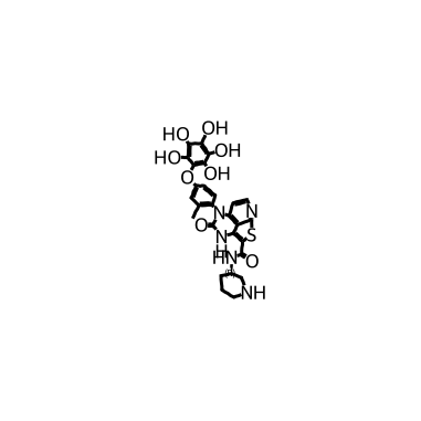 Cc1cc(Oc2c(O)c(O)c(O)c(O)c2O)ccc1N1C(=O)Nc2c(C(=O)N[C@@H]3CCCNC3)sc3nccc1c23